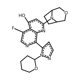 Oc1cc(N2C3CCC2COC3)nc2c(-c3ccnn3C3CCCCO3)ncc(F)c12